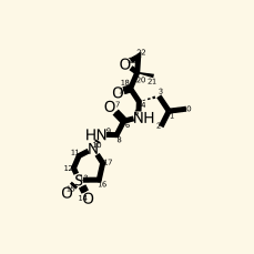 CC(C)C[C@H](NC(=O)CNN1CCS(=O)(=O)CC1)C(=O)[C@@]1(C)CO1